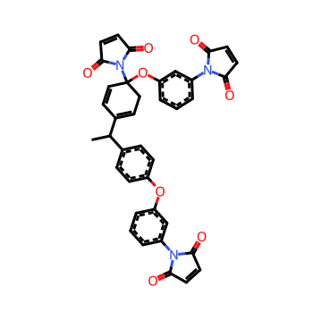 CC(C1=CCC(Oc2cccc(N3C(=O)C=CC3=O)c2)(N2C(=O)C=CC2=O)C=C1)c1ccc(Oc2cccc(N3C(=O)C=CC3=O)c2)cc1